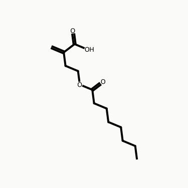 C=C(CCOC(=O)CCCCCCC)C(=O)O